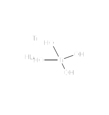 [LiH].[OH][Ti]([OH])([OH])[OH].[Ti]